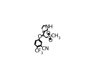 CS(=O)(=O)C[C@@H](Oc1ccc(C(F)(F)F)c(C#N)c1)[C@@H]1CCNC1